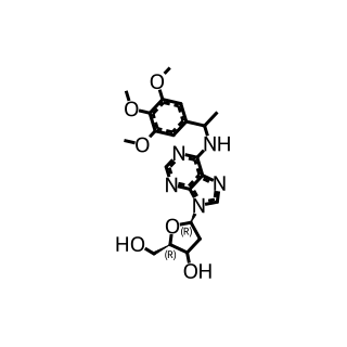 COc1cc(C(C)Nc2ncnc3c2ncn3[C@H]2CC(O)[C@@H](CO)O2)cc(OC)c1OC